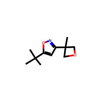 CC(C)(C)c1cc(C2(C)COC2)no1